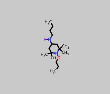 CCCCN(I)C1CC(C)(C)N(OCCC)C(C)(C)C1